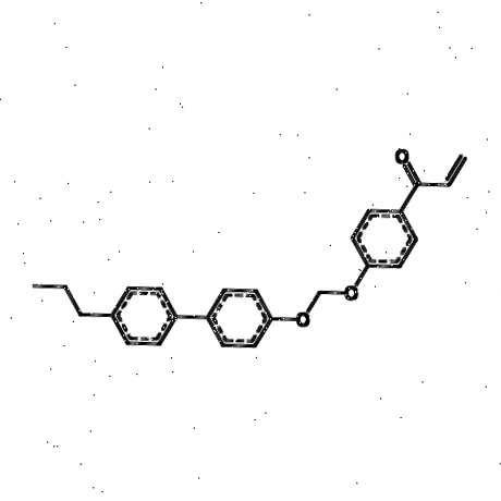 C=CC(=O)c1ccc(OCOc2ccc(-c3ccc(CCC)cc3)cc2)cc1